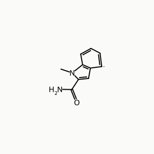 Cn1c(C(N)=O)cc2[c]cccc21